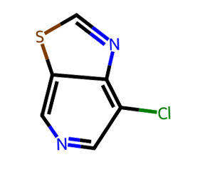 Clc1cncc2scnc12